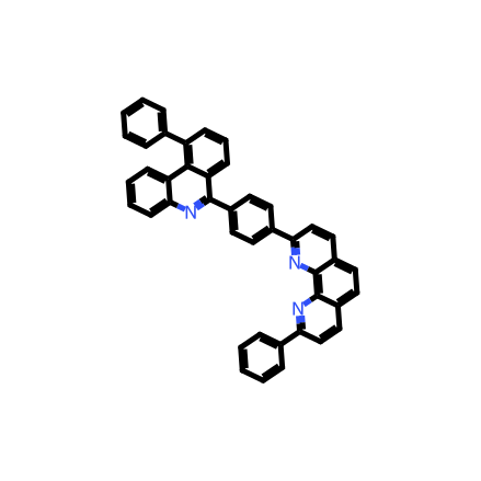 c1ccc(-c2ccc3ccc4ccc(-c5ccc(-c6nc7ccccc7c7c(-c8ccccc8)cccc67)cc5)nc4c3n2)cc1